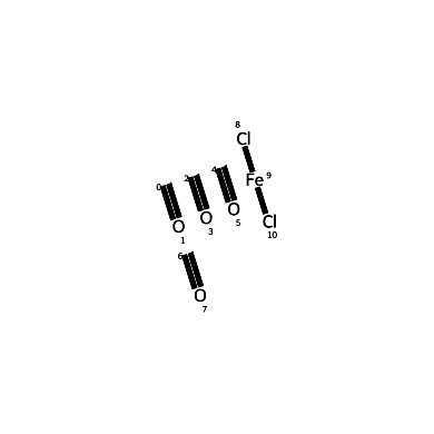 [C]=O.[C]=O.[C]=O.[C]=O.[Cl][Fe][Cl]